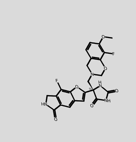 COc1ccc2c(c1F)OCN(C[C@@]1(c3cc4cc5c(c(F)c4o3)CNC5=O)NC(=O)NC1=O)C2